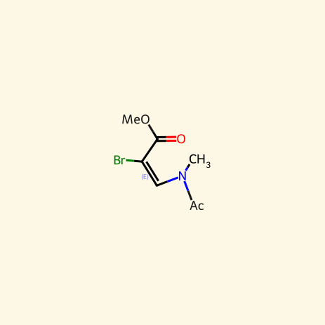 COC(=O)/C(Br)=C\N(C)C(C)=O